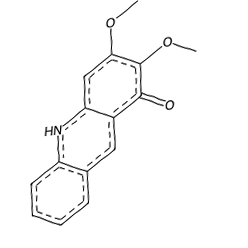 COc1cc2[nH]c3ccccc3cc-2c(=O)c1OC